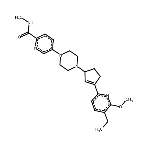 CCc1ccc(C2=CC(N3CCN(c4ccc(C(=O)NC)nc4)CC3)CC2)nc1OC